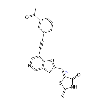 CC(=O)c1cccc(C#Cc2cncc3cc(/C=C4\SC(=S)NC4=O)oc23)c1